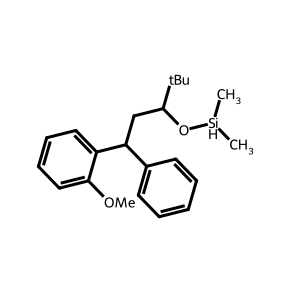 COc1ccccc1C(CC(O[SiH](C)C)C(C)(C)C)c1ccccc1